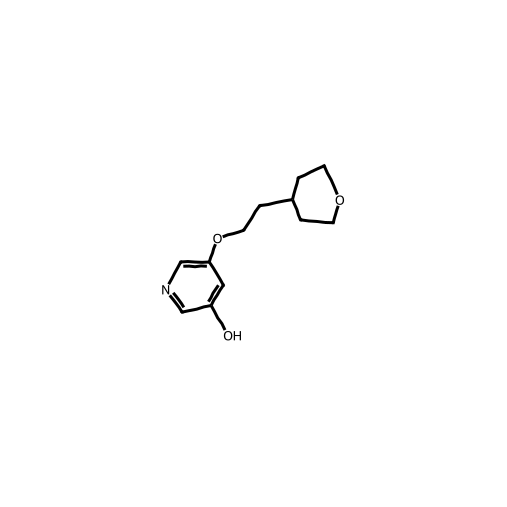 Oc1cncc(OCCC2CCOCC2)c1